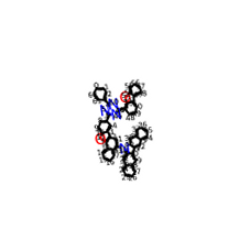 c1ccc(-c2nc(-c3ccc4oc5c6ccccc6c(-n6c7cc8ccccc8cc7c7cc8ccccc8cc76)cc5c4c3)nc(-c3cccc4c3oc3ccccc34)n2)cc1